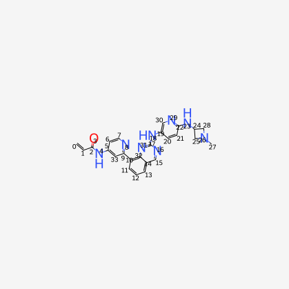 C=CC(=O)Nc1ccnc(-c2cccc3cnc(Nc4ccc(NC5CN(C)C5)nc4)nc23)c1